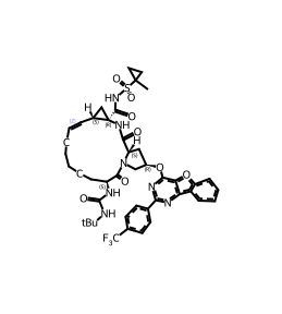 CC(C)(C)NC(=O)N[C@H]1CCCCC/C=C\[C@@H]2C[C@@]2(C(=O)NS(=O)(=O)C2(C)CC2)NC(=O)[C@@H]2C[C@@H](Oc3nc(-c4ccc(C(F)(F)F)cc4)nc4c3oc3ccccc34)CN2C1=O